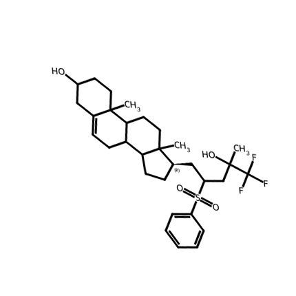 CC12CCC(O)CC1=CCC1C2CCC2(C)C1CC[C@@H]2CC(CC(C)(O)C(F)(F)F)S(=O)(=O)c1ccccc1